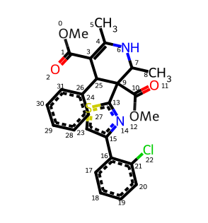 COC(=O)C1=C(C)NC(C)C(C(=O)OC)(c2nc(-c3ccccc3Cl)cs2)C1c1ccccc1